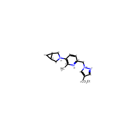 CCOC(=O)c1cnn(Cc2ccc(N3CC4CC4C3)c(C#N)n2)c1